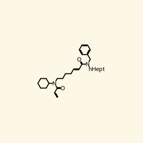 C=CC(=O)N(CCCC/C=C/C(=O)N(CCCCCCC)Cc1ccccc1)C1CCCCC1